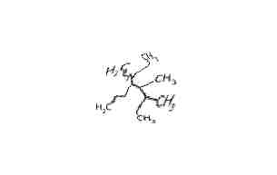 C=CCC(C(C)C(C)CC)N(C=C)CC